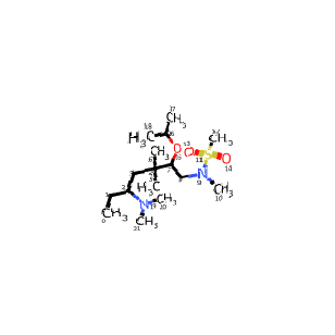 CCC(CC(C)(C)C(CN(C)S(C)(=O)=O)OC(C)C)N(C)C